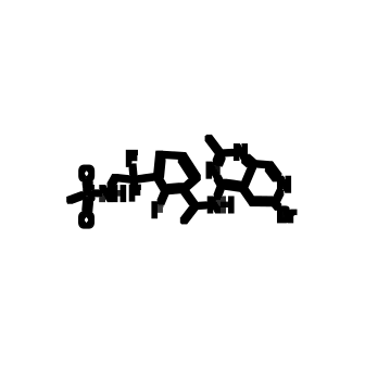 Cc1nc(NC(C)c2cccc(C(F)(F)CNS(C)(=O)=O)c2F)c2cc(Br)ncc2n1